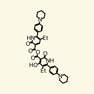 CCc1cc(C(=O)OC(=O)c2c(O)c(CC)c(-c3ccc(N4CCCCC4)cc3)[nH]c2=O)c(=O)[nH]c1-c1ccc(N2CCCCC2)cc1